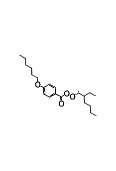 CCCCCCOc1ccc(C(=O)OO[CH]C(CC)CCCC)cc1